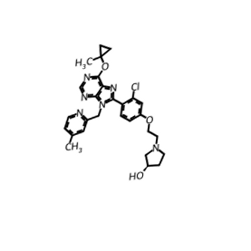 Cc1ccnc(Cn2c(-c3ccc(OCCN4CC[C@@H](O)C4)cc3Cl)nc3c(OC4(C)CC4)ncnc32)c1